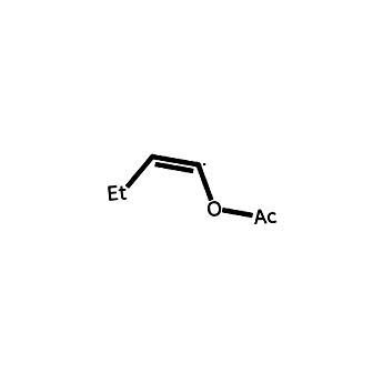 CC/C=[C]\OC(C)=O